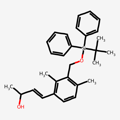 Cc1ccc(C=CC(C)O)c(C)c1CO[Si](c1ccccc1)(c1ccccc1)C(C)(C)C